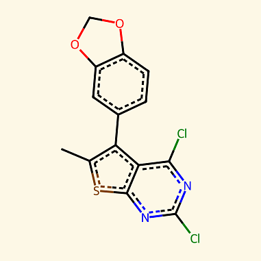 Cc1sc2nc(Cl)nc(Cl)c2c1-c1ccc2c(c1)OCO2